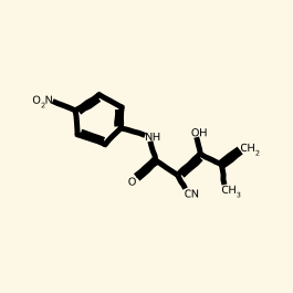 C=C(C)C(O)=C(C#N)C(=O)Nc1ccc([N+](=O)[O-])cc1